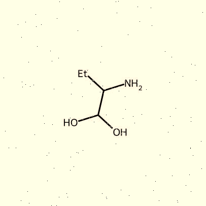 CCC(N)C(O)O